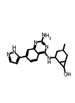 CC1CC(Nc2nc(N)nc3cc(-c4ccn[nH]4)ccc23)C2C(O)C2C1